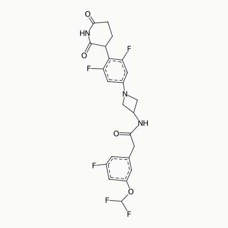 O=C1CCC(c2c(F)cc(N3CC(NC(=O)Cc4cc(F)cc(OC(F)F)c4)C3)cc2F)C(=O)N1